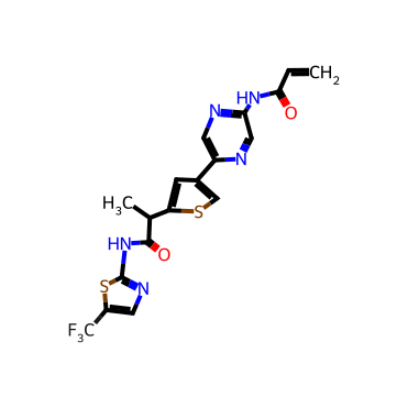 C=CC(=O)Nc1cnc(-c2csc(C(C)C(=O)Nc3ncc(C(F)(F)F)s3)c2)cn1